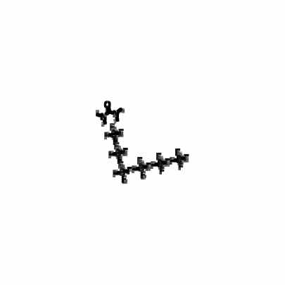 CN(C)C(=O)N(C)C.F[B-](F)(F)F.F[B-](F)(F)F.F[B-](F)(F)F.F[B-](F)(F)F.F[B-](F)(F)F.F[B-](F)(F)F